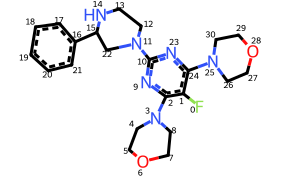 Fc1c(N2CCOCC2)nc(N2CCNC(c3ccccc3)C2)nc1N1CCOCC1